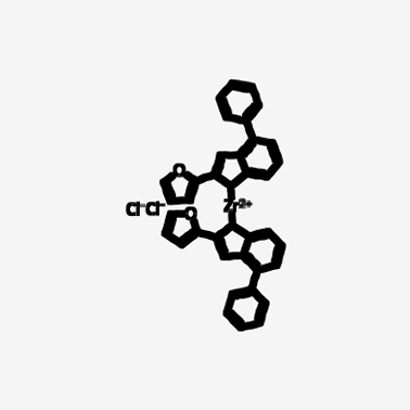 C1=C(c2ccco2)[CH]([Zr+2][CH]2C(c3ccco3)=Cc3c(-c4ccccc4)cccc32)c2cccc(-c3ccccc3)c21.[Cl-].[Cl-]